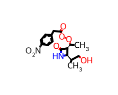 CC(CO)[C@H]1NC(=O)[C@@H]1C(C)OOC(=O)Cc1ccc([N+](=O)[O-])cc1